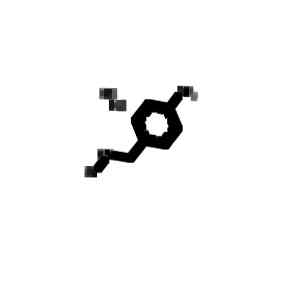 CC(C)NCc1ccc(N)cc1.Cl.Cl